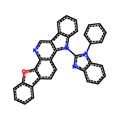 c1ccc(-n2c(-n3c4ccccc4c4cnc5c(ccc6c7ccccc7oc65)c43)nc3ccccc32)cc1